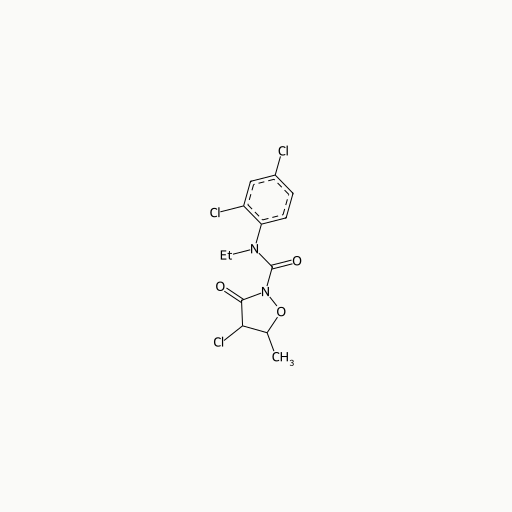 CCN(C(=O)N1OC(C)C(Cl)C1=O)c1ccc(Cl)cc1Cl